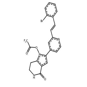 O=C1NCCc2c1cc(-c1ccnc(C=Cc3ccccc3Br)c1)n2OC(=O)C(F)(F)F